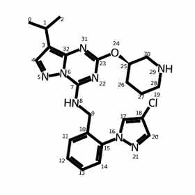 CC(C)c1cnn2c(NCc3ccccc3-n3cc(Cl)cn3)nc(O[C@@H]3CCCNC3)nc12